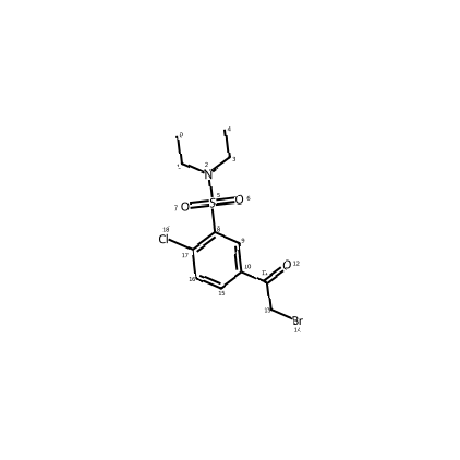 CCN(CC)S(=O)(=O)c1cc(C(=O)CBr)ccc1Cl